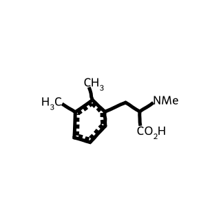 CNC(Cc1cccc(C)c1C)C(=O)O